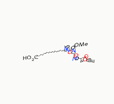 COc1ccc(C(=O)N(CC(C)(C)CCCCCCCCCCCCCCCCCCCC(=O)O)c2cccc(C)n2)c(N2CCC(COc3cc(C(CC(=O)OC(C)(C)C)C4CC4)ccn3)CC2)c1